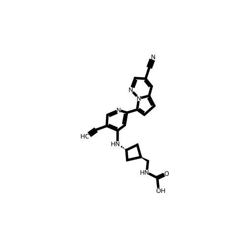 C#Cc1cnc(-c2ccc3cc(C#N)cnn23)cc1N[C@H]1C[C@H](CNC(=O)O)C1